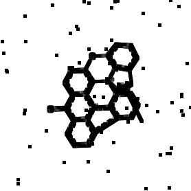 Cc1cc2n(n1)[N+]13c4c(ncc5c(=O)c6cccc7c8ccc[n+]1c8n(c45)c67)Oc1cccc-2[n+]13